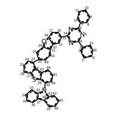 c1ccc(-c2nc(-c3ccccc3)nc(-c3ccc4oc5cc(-c6cccc7sc8c(-n9c%10ccccc%10c%10ccccc%109)cccc8c67)ccc5c4c3)n2)cc1